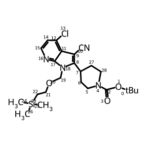 CC(C)(C)OC(=O)N1CCC(c2c(C#N)c3c(Cl)ccnc3n2COCC[Si](C)(C)C)CC1